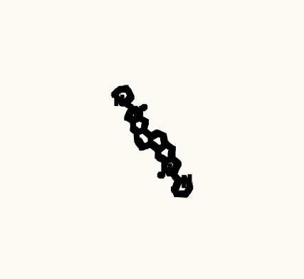 Cn1c(-c2ccccn2)cc2cc3ccc4c5cc6c(cc(-c7ccccn7)n6C)cc5ccc4c3cc21